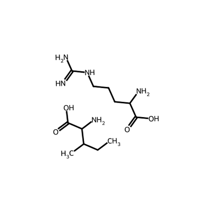 CCC(C)C(N)C(=O)O.N=C(N)NCCCC(N)C(=O)O